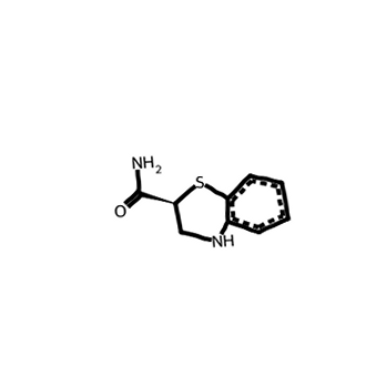 NC(=O)[C@@H]1CNc2ccccc2S1